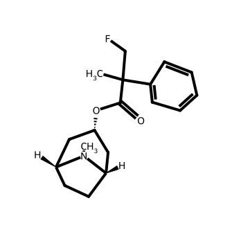 CN1[C@@H]2CC[C@H]1C[C@@H](OC(=O)C(C)(CF)c1ccccc1)C2